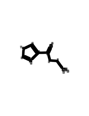 CCCC(=O)c1cscn1